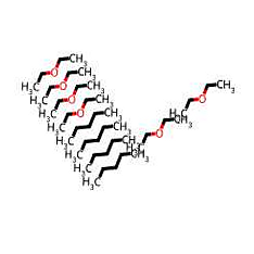 CCCCC.CCCCC.CCCCC.CCCCC.CCOCC.CCOCC.CCOCC.CCOCC.CCOCC.CCOCC